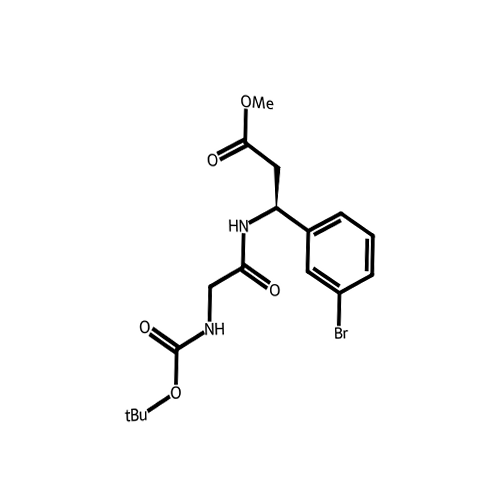 COC(=O)C[C@H](NC(=O)CNC(=O)OC(C)(C)C)c1cccc(Br)c1